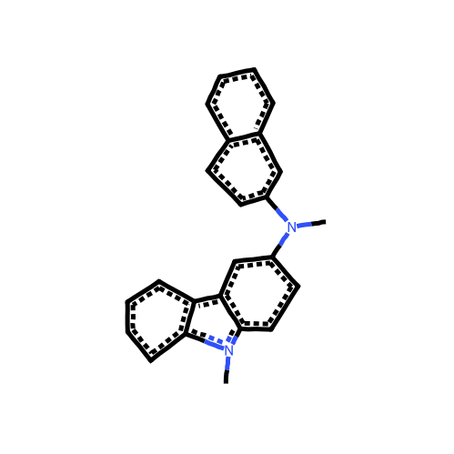 CN(c1ccc2ccccc2c1)c1ccc2c(c1)c1ccccc1n2C